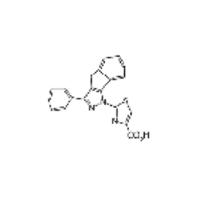 O=C(O)c1csc(-n2nc(-c3ccccc3)c3c2-c2ccccc2C3)n1